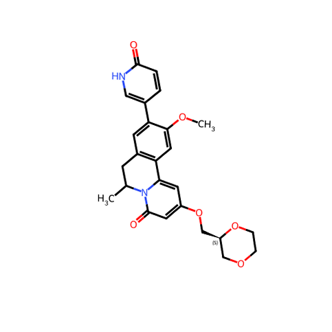 COc1cc2c(cc1-c1ccc(=O)[nH]c1)CC(C)n1c-2cc(OC[C@@H]2COCCO2)cc1=O